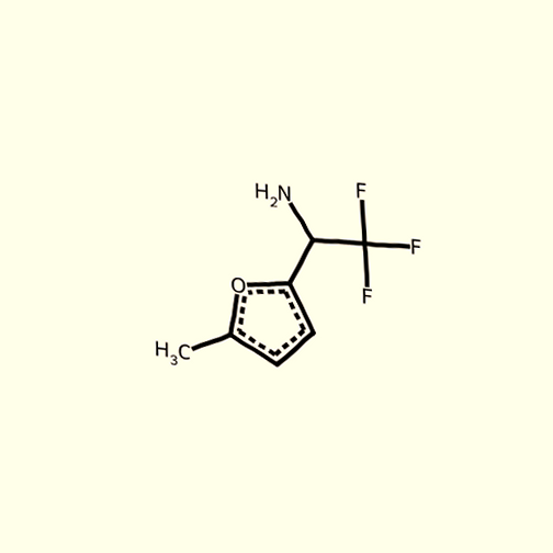 Cc1ccc(C(N)C(F)(F)F)o1